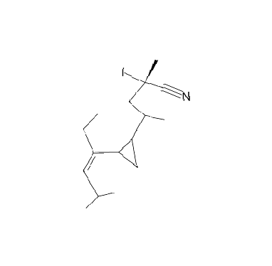 CC/C(=C/C(C)C)C1CC1C(C)C[C@](C)(I)C#N